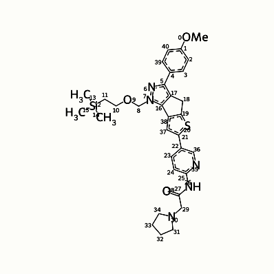 COc1ccc(-c2nn(COCC[Si](C)(C)C)c3c2Cc2sc(-c4ccc(NC(=O)CN5CCCC5)nc4)cc2-3)cc1